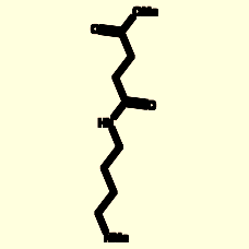 CNCCCCNC(=O)CCC(=O)OC